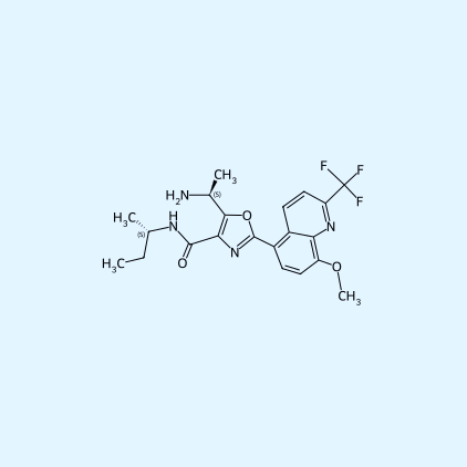 CC[C@H](C)NC(=O)c1nc(-c2ccc(OC)c3nc(C(F)(F)F)ccc23)oc1[C@H](C)N